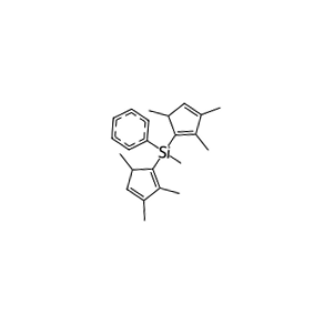 CC1=CC(C)C([Si](C)(C2=C(C)C(C)=CC2C)c2ccccc2)=C1C